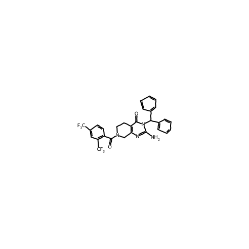 Nc1nc2c(c(=O)n1C(c1ccccc1)c1ccccc1)CCN(C(=O)c1ccc(C(F)(F)F)cc1C(F)(F)F)C2